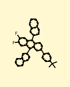 CC(C)(C)c1ccc(-c2ccc3c(-c4ccc5ccccc5c4)c4cc(F)c(F)cc4c(-c4ccc5ccccc5c4)c3c2)cc1